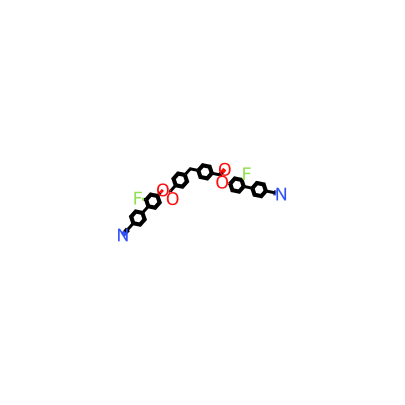 N#Cc1ccc(-c2ccc(OC(=O)c3ccc(Cc4ccc(C(=O)Oc5ccc(-c6ccc(C#N)cc6)c(F)c5)cc4)cc3)cc2F)cc1